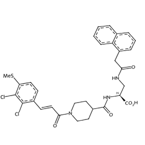 CSc1ccc(C=CC(=O)N2CCC(C(=O)N[C@@H](CNC(=O)Cc3cccc4ccccc34)C(=O)O)CC2)c(Cl)c1Cl